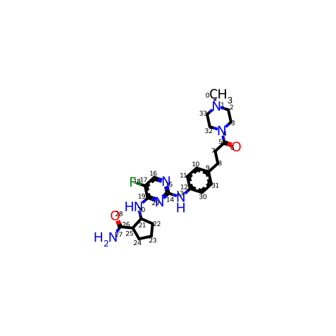 CN1CCN(C(=O)CCc2ccc(Nc3ncc(F)c(NC4CCCC4C(N)=O)n3)cc2)CC1